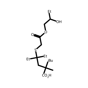 CCC(O)COC(=O)CSC(CC)(CC)CC(C)(C(=O)O)C(C)CC